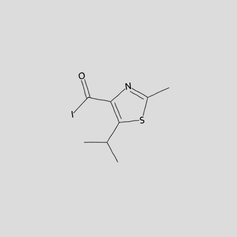 Cc1nc(C(=O)I)c(C(C)C)s1